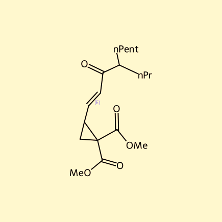 CCCCCC(CCC)C(=O)/C=C/C1CC1(C(=O)OC)C(=O)OC